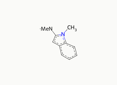 C[N]c1cc2ccccc2n1C